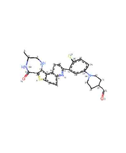 CC1CNc2c(sc3ccc4nc(-c5cc(N6CCC(C=O)CC6)ccc5F)ccc4c23)C(=O)N1